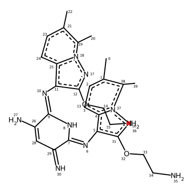 Cc1ccc2c(/N=C3\N/C(=N\c4c(OCCN)nn5c(C)c(C)ccc45)C(N)=CC3=N)c(OCCN)nn2c1C